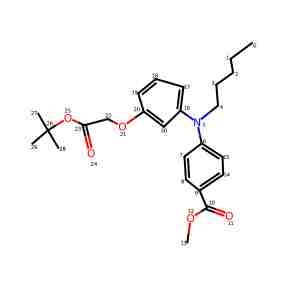 CCCCCN(c1ccc(C(=O)OC)cc1)c1cccc(OCC(=O)OC(C)(C)C)c1